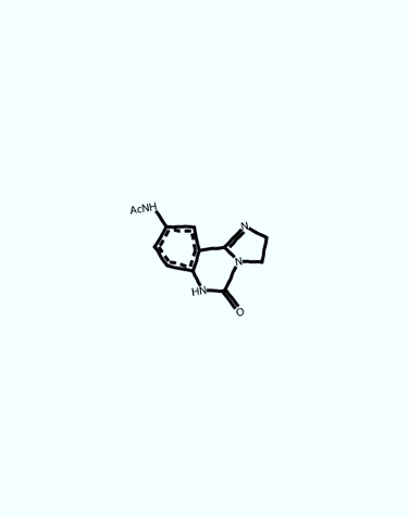 CC(=O)Nc1ccc2c(c1)C1=NCCN1C(=O)N2